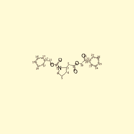 O=C(CC1CCCN1C(=O)OCc1ccccc1)OCC(=O)c1ccccc1